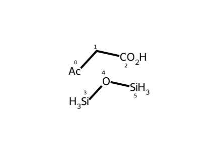 CC(=O)CC(=O)O.[SiH3]O[SiH3]